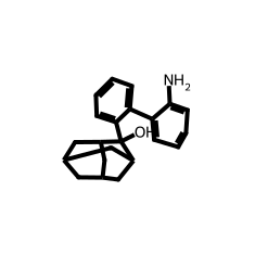 Nc1ccccc1-c1ccccc1C1(O)C2CC3CC(C2)CC1C3